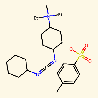 CC[N+](C)(CC)C1CCC(N=C=NC2CCCCC2)CC1.Cc1ccc(S(=O)(=O)[O-])cc1